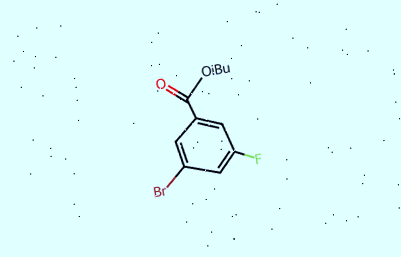 CC(C)COC(=O)c1cc(F)cc(Br)c1